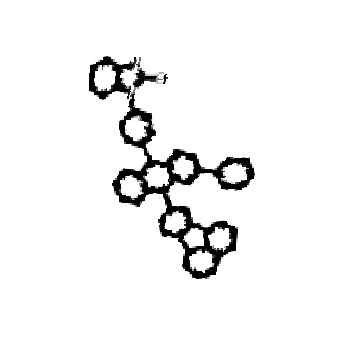 CCc1nc2ccccc2n1-c1ccc(-c2c3ccccc3c(-c3ccc4c(c3)-c3cccc5cccc-4c35)c3cc(-c4ccccc4)ccc23)cc1